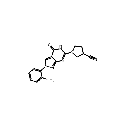 Cc1ccccc1-n1cc2c(=O)[nH]c(N3CCC(C#N)C3)nc2n1